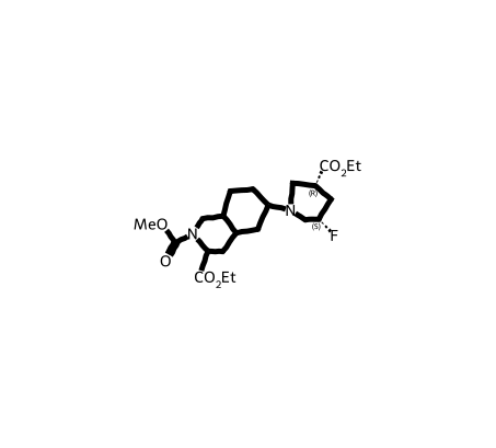 CCOC(=O)C1CC2CC(N3C[C@@H](F)C[C@@H](C(=O)OCC)C3)CCC2CN1C(=O)OC